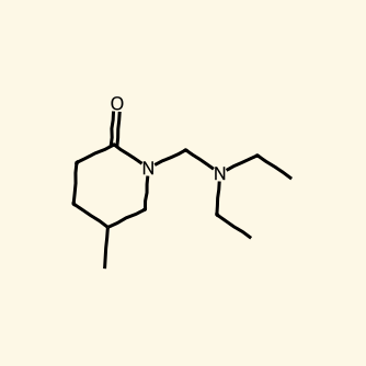 CCN(CC)CN1CC(C)CCC1=O